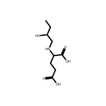 CCC(O)CNC(CCC(=O)O)C(=O)O